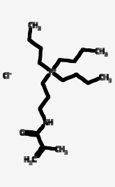 C=C(C)C(=O)NCCC[P+](CCCC)(CCCC)CCCC.[Cl-]